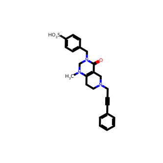 CN1CN(Cc2ccc(S(=O)(=O)O)cc2)C(=O)C2=C1CCN(CC#Cc1ccccc1)C2